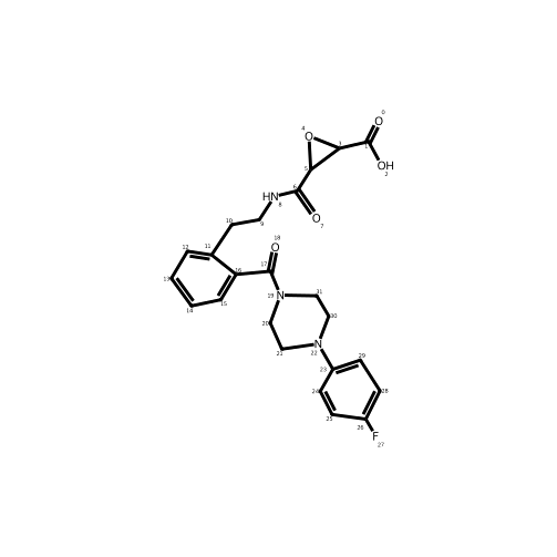 O=C(O)C1OC1C(=O)NCCc1ccccc1C(=O)N1CCN(c2ccc(F)cc2)CC1